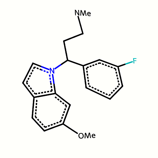 CNCCC(c1cccc(F)c1)n1ccc2ccc(OC)cc21